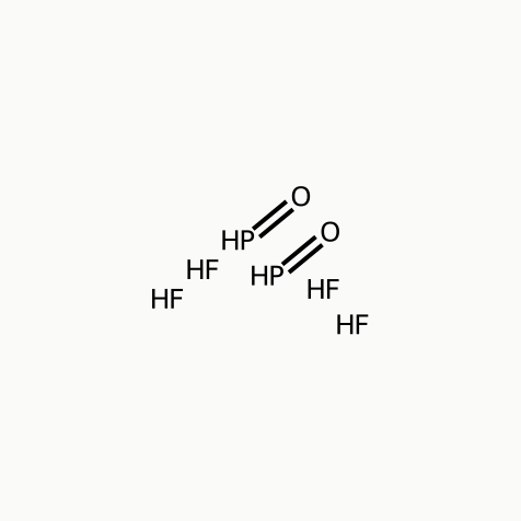 F.F.F.F.O=P.O=P